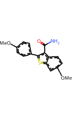 COc1ccc(-c2sc3cc(OC)ccc3c2C(N)=O)cc1